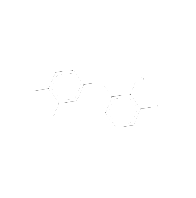 N#Cc1c(N)cccc1Sc1ccc(Cl)c(Cl)c1